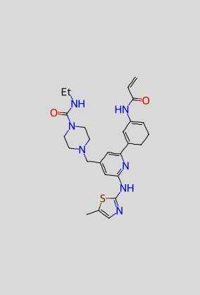 C=CC(=O)NC1=CCCC(c2cc(CN3CCN(C(=O)NCC)CC3)cc(Nc3ncc(C)s3)n2)=C1